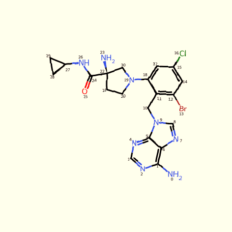 Nc1ncnc2c1ncn2Cc1c(Br)cc(Cl)cc1N1CC[C@](N)(C(=O)NC2CC2)C1